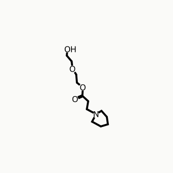 O=C(CCN1CCCCC1)OCCOCCO